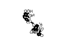 COc1ccc2c(c1)C(=O)NC(c1ccc(OCCOc3c(OC)cc(/C=C\c4cc(CO)c(CO)c(OC)c4)cc3OC)c(CO)c1)N2